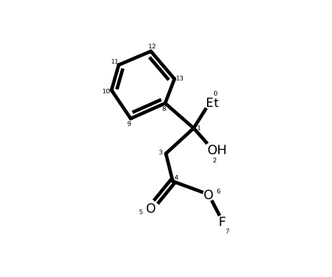 CCC(O)(CC(=O)OF)c1ccccc1